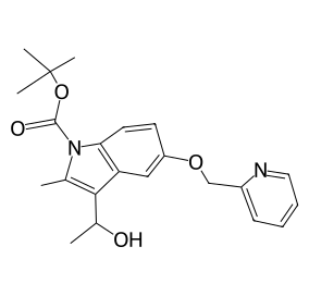 Cc1c(C(C)O)c2cc(OCc3ccccn3)ccc2n1C(=O)OC(C)(C)C